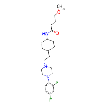 COCCCC(=O)NC1CCC(CCN2CCN(c3ccc(F)cc3F)CC2)CC1